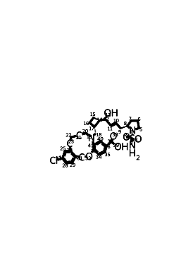 NS(=O)(=O)N1CCC[C@@H]1C/C=C/[C@H](O)[C@@H]1CC[C@H]1CN1CCCCc2cc(Cl)ccc2COc2ccc(C(=O)O)cc21